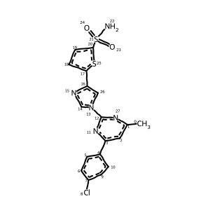 Cc1cc(-c2ccc(Cl)cc2)nc(-n2cnc(-c3ccc(S(N)(=O)=O)s3)c2)n1